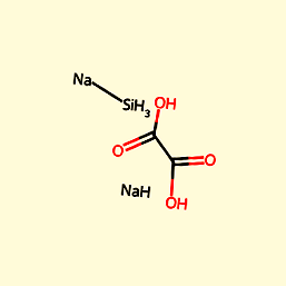 O=C(O)C(=O)O.[NaH].[Na][SiH3]